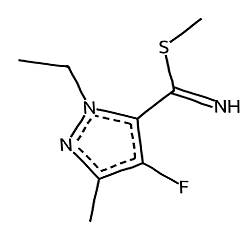 CCn1nc(C)c(F)c1C(=N)SC